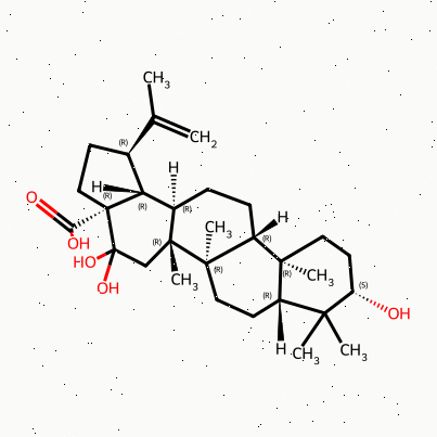 C=C(C)[C@@H]1CC[C@@]2(C(=O)O)[C@H]1[C@H]1CC[C@@H]3[C@@]4(C)CC[C@H](O)C(C)(C)[C@@H]4CC[C@@]3(C)[C@]1(C)CC2(O)O